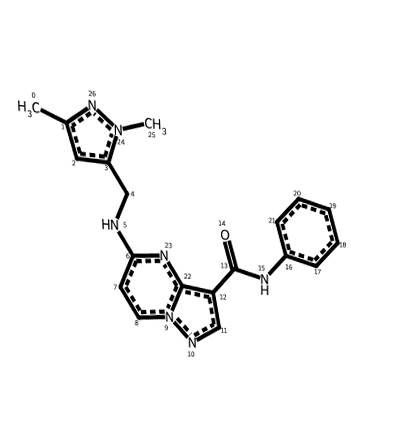 Cc1cc(CNc2ccn3ncc(C(=O)Nc4ccccc4)c3n2)n(C)n1